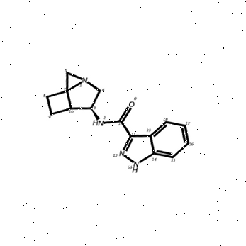 O=C(N[C@@H]1CN2CC23CCC13)c1n[nH]c2ccccc12